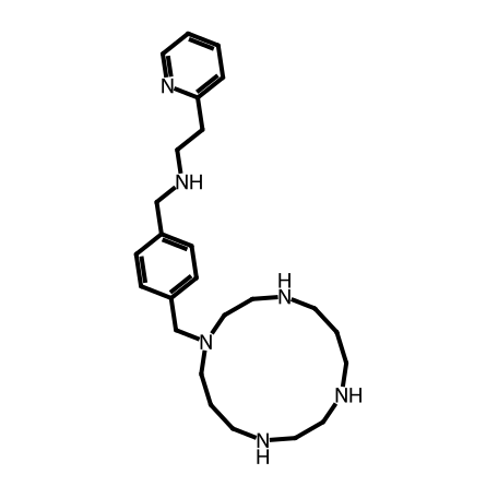 c1ccc(CCNCc2ccc(CN3CCCNCCNCCCNCC3)cc2)nc1